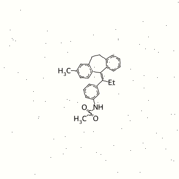 CC/C(=C1\c2ccccc2CCc2cc(C)ccc21)c1cccc(NS(C)(=O)=O)c1